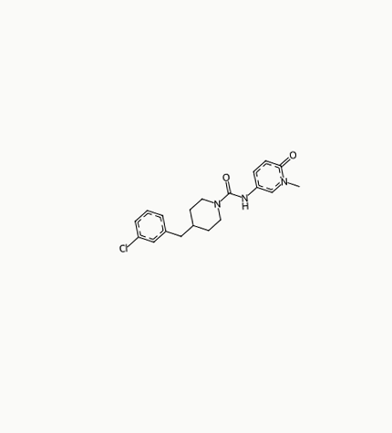 Cn1cc(NC(=O)N2CCC(Cc3cccc(Cl)c3)CC2)ccc1=O